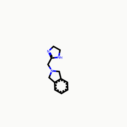 c1ccc2c(c1)CN(CC1=NCCN1)C2